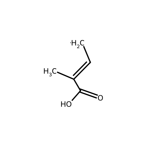 [CH2]/C=C(\C)C(=O)O